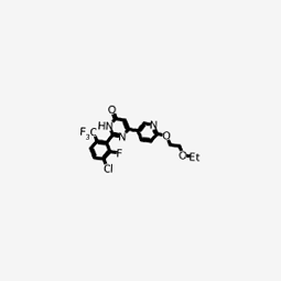 CCOCCOc1ccc(-c2cc(=O)[nH]c(-c3c(C(F)(F)F)ccc(Cl)c3F)n2)cn1